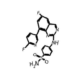 NS(=O)(=O)c1ccc(Nc2ncc3cc(F)cc(-c4ccc(F)nc4)c3n2)cc1